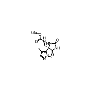 Cc1cnn(C)c1[C@@]1(CNC(=O)OC(C)(C)C)NC(=O)NC1=O